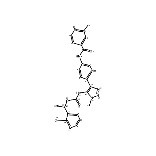 Cc1cc(C(=O)Nc2ccc(-c3nnn(C)c3NC(=O)O[C@H](C)c3cccnc3Cl)nc2)ccn1